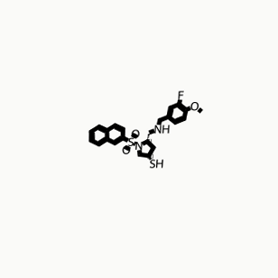 COc1ccc(CNC[C@@H]2C[C@@H](S)CN2S(=O)(=O)c2ccc3ccccc3c2)cc1F